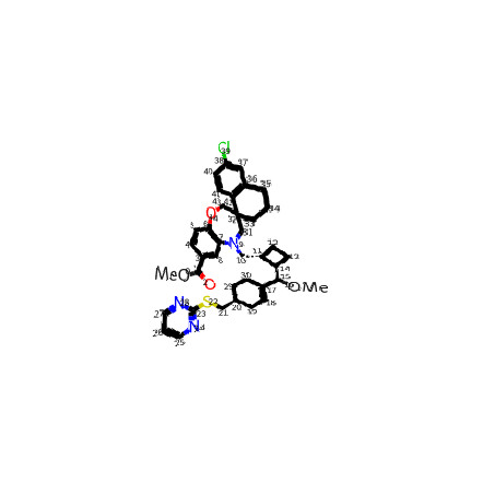 COC(=O)c1ccc2c(c1)N(C[C@@H]1CC[C@H]1C(OC)C1=CC[C@@H](CSc3ncccn3)CC1)CC1(CCCc3cc(Cl)ccc31)CO2